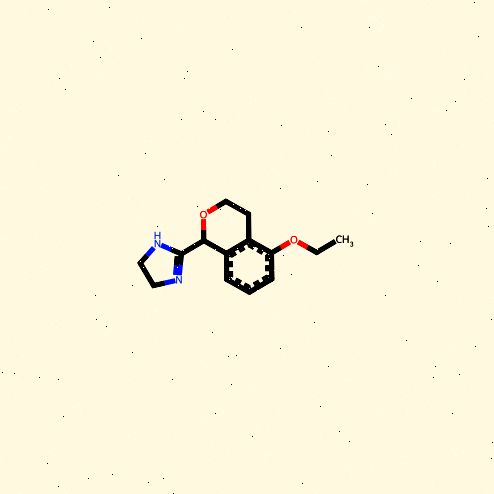 CCOc1cccc2c1CCOC2C1=NCCN1